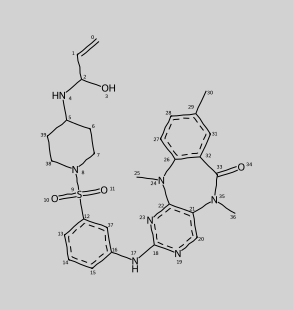 C=CC(O)NC1CCN(S(=O)(=O)c2cccc(Nc3ncc4c(n3)N(C)c3ccc(C)cc3C(=O)N4C)c2)CC1